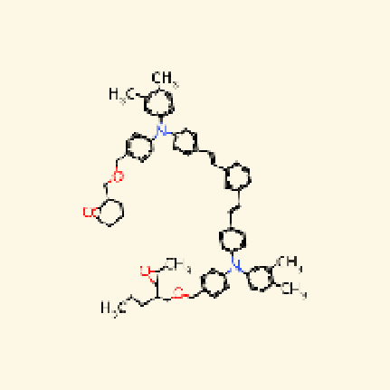 CCCC(COCc1ccc(N(c2ccc(C=Cc3cccc(C=Cc4ccc(N(c5ccc(COCC6CCCC7OC67)cc5)c5ccc(C)c(C)c5)cc4)c3)cc2)c2ccc(C)c(C)c2)cc1)C1OC1C